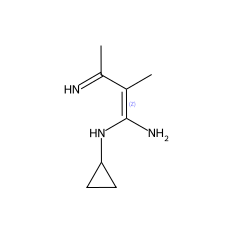 CC(=N)/C(C)=C(/N)NC1CC1